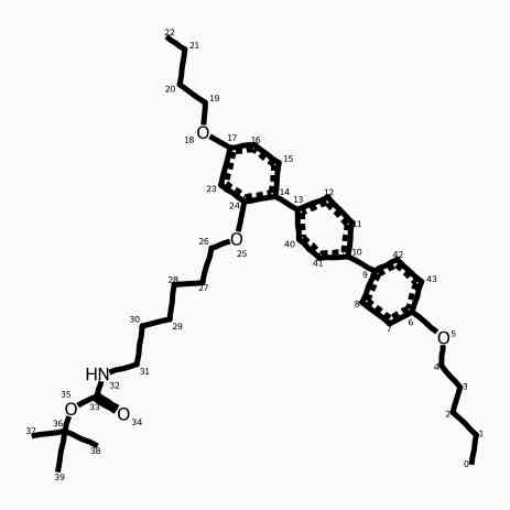 CCCCCOc1ccc(-c2ccc(-c3ccc(OCCCC)cc3OCCCCCCNC(=O)OC(C)(C)C)cc2)cc1